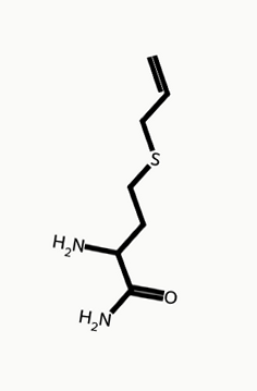 C=CCSCCC(N)C(N)=O